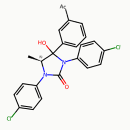 CC(=O)c1cccc(C2(O)[C@H](C)N(c3ccc(Cl)cc3)C(=O)N2c2ccc(Cl)cc2)c1